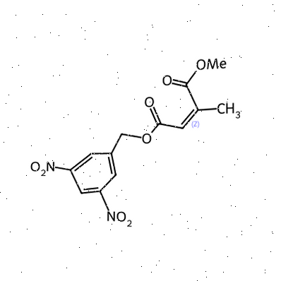 COC(=O)/C(C)=C\C(=O)OCc1cc([N+](=O)[O-])cc([N+](=O)[O-])c1